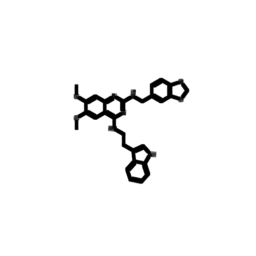 COc1cc2nc(NCc3ccc4c(c3)OCO4)nc(NCCc3c[nH]c4ccccc34)c2cc1OC